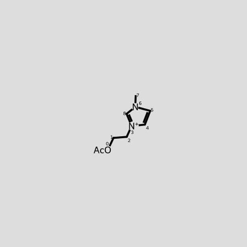 CC(=O)OCC[n+]1ccn(C)c1